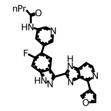 CCCC(=O)Nc1cncc(-c2cc3c(-c4nc5c(-c6ccoc6)nccc5[nH]4)n[nH]c3cc2F)c1